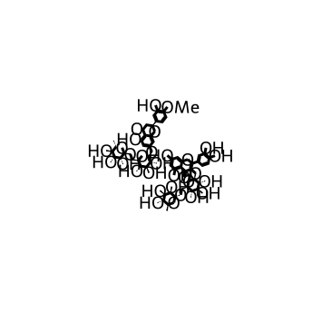 COc1ccc([C@@H]2CC(=O)c3c(O)cc(O[C@@H]4O[C@H](CO[C@@H]5O[C@@H](C)[C@H](O)[C@@H](O)[C@H]5O)[C@@H](O)[C@H](O)[C@H]4O)cc3O2)cc1O.C[C@@H]1O[C@@H](OC[C@H]2O[C@@H](Oc3c(-c4ccc(O)c(O)c4)oc4cc(O)cc(O)c4c3=O)[C@H](O)[C@@H](O)[C@@H]2O)[C@H](O)[C@H](O)[C@H]1O